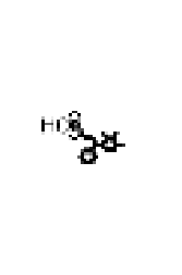 Cc1ccc(C(CCCOC(=O)O)c2ccccc2)c(C)c1C